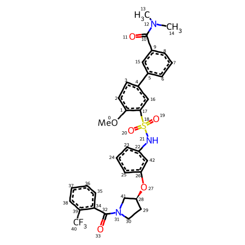 COc1ccc(-c2cccc(C(=O)N(C)C)c2)cc1S(=O)(=O)Nc1cccc(O[C@H]2CCN(C(=O)c3ccccc3C(F)(F)F)C2)c1